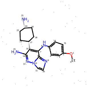 CCOc1ccc(Nc2c3nccn3nc(N)c2[C@H]2CC[C@@H](N)CC2)cc1